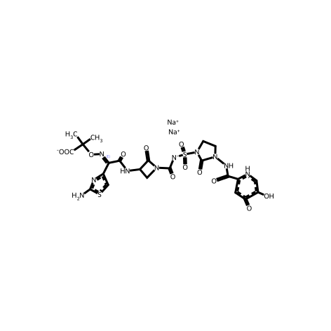 CC(C)(O/N=C(/C(=O)NC1CN(C(=O)[N-]S(=O)(=O)N2CCN(NC(=O)c3cc(=O)c(O)c[nH]3)C2=O)C1=O)c1csc(N)n1)C(=O)[O-].[Na+].[Na+]